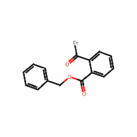 CCC(=O)c1ccccc1C(=O)OCc1ccccc1